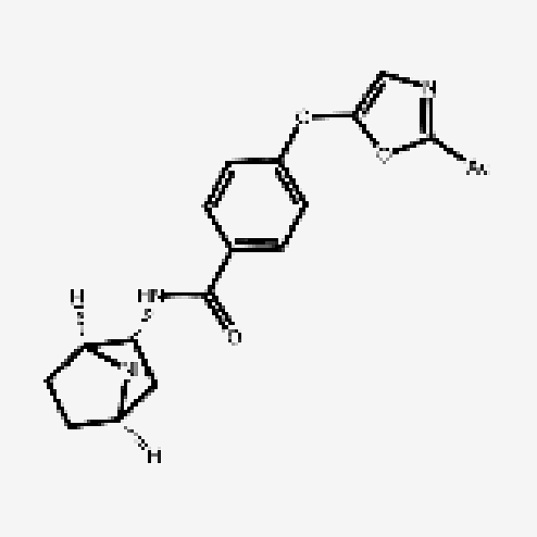 CC(=O)c1ncc(Oc2ccc(C(=O)N[C@@H]3C[C@H]4CC[C@@H]3N4)cc2)o1